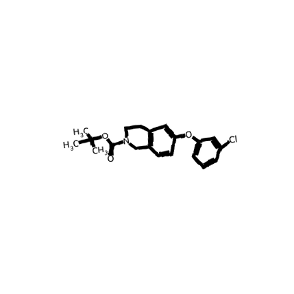 CC(C)(C)OC(=O)N1CCc2cc(Oc3cccc(Cl)c3)ccc2C1